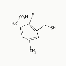 CC(=O)O.Cc1ccc(F)c(CS)c1